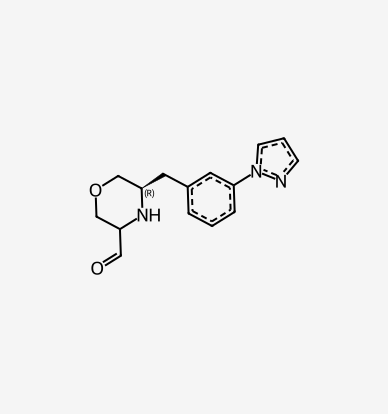 O=CC1COC[C@@H](Cc2cccc(-n3cccn3)c2)N1